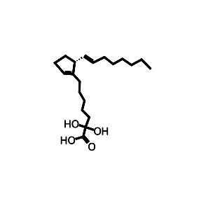 CCCCCC/C=C/[C@H]1CCC=C1CCCCCC(O)(O)C(=O)O